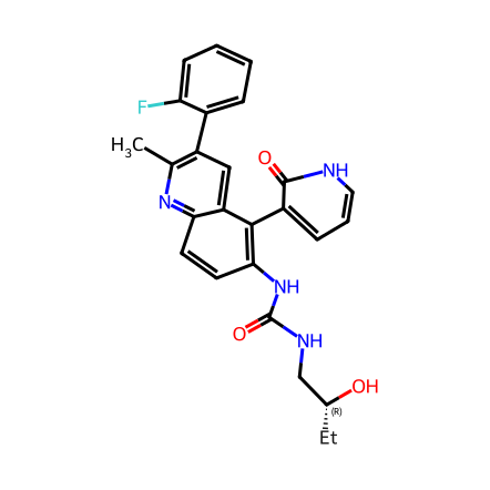 CC[C@@H](O)CNC(=O)Nc1ccc2nc(C)c(-c3ccccc3F)cc2c1-c1ccc[nH]c1=O